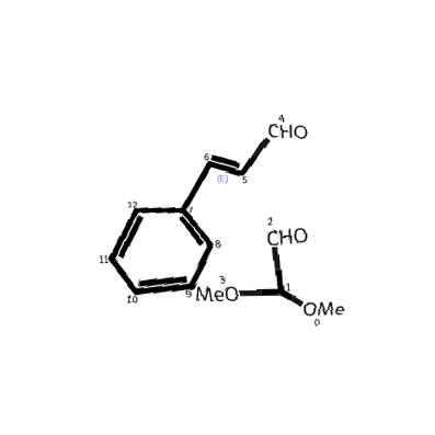 COC(C=O)OC.O=C/C=C/c1ccccc1